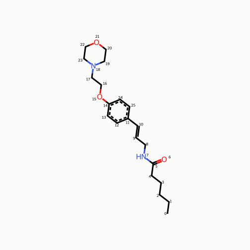 CCCCCC(=O)NCC=Cc1ccc(OCCN2CCOCC2)cc1